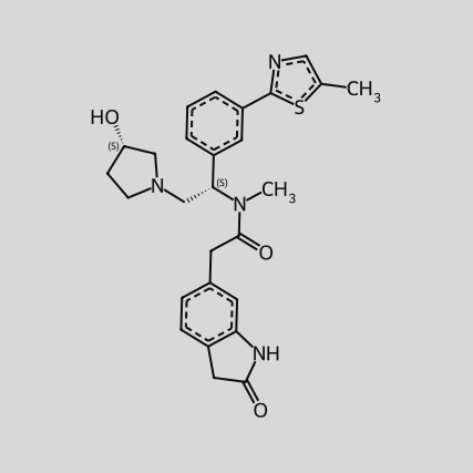 Cc1cnc(-c2cccc([C@@H](CN3CC[C@H](O)C3)N(C)C(=O)Cc3ccc4c(c3)NC(=O)C4)c2)s1